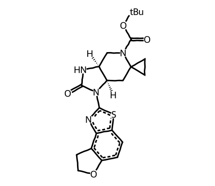 CC(C)(C)OC(=O)N1C[C@@H]2NC(=O)N(c3nc4c5c(ccc4s3)OCC5)[C@@H]2CC12CC2